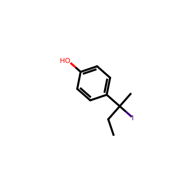 CCC(C)(I)c1ccc(O)cc1